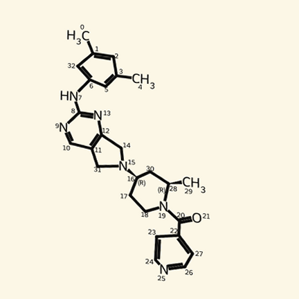 Cc1cc(C)cc(Nc2ncc3c(n2)CN([C@@H]2CCN(C(=O)c4ccncc4)[C@H](C)C2)C3)c1